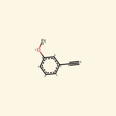 [C]#Cc1cccc(OCC)c1